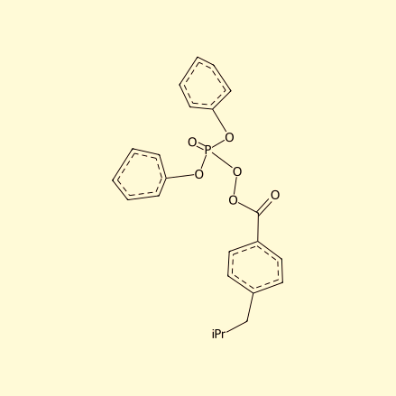 CC(C)Cc1ccc(C(=O)OOP(=O)(Oc2ccccc2)Oc2ccccc2)cc1